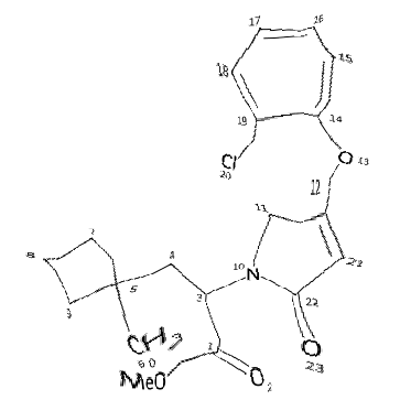 COC(=O)C(CC1(C)CCC1)N1CC(Oc2ccccc2Cl)=CC1=O